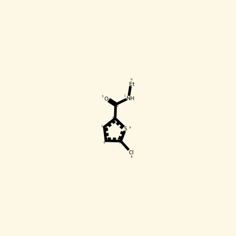 CCNC(=O)c1ccc(Cl)s1